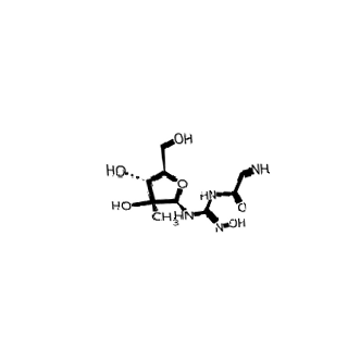 C[C@]1(O)[C@H](N/C(=N/O)NC(=O)C=N)O[C@H](CO)[C@H]1O